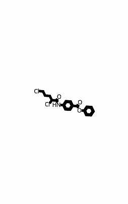 O=C(Oc1ccccc1)c1ccc(NC(=O)C(Cl)CCCCl)cc1